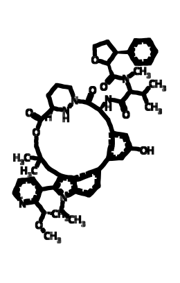 CCn1c(-c2cccnc2[C@H](C)OC)c2c3cc(ccc31)-c1cc(O)cc(c1)C[C@H](NC(=O)C(C(C)C)N(C)C(=O)[C@H]1OCC[C@H]1c1ccccc1)C(=O)N1CCC[C@H](N1)C(=O)OCC(C)(C)C2